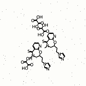 CN1CC(CCn2ccnc2)Oc2ncccc2C1=S.CN1CC(CCn2ccnc2)Oc2ncccc2C1=S.O=C(O)C(=O)O.O=C(O)C(=O)O.O=C(O)C(=O)O